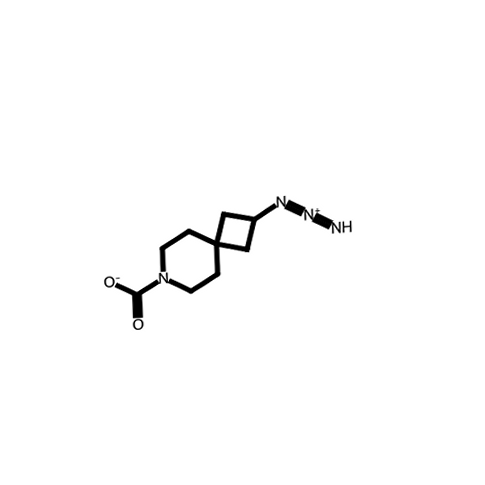 N=[N+]=NC1CC2(CCN(C(=O)[O-])CC2)C1